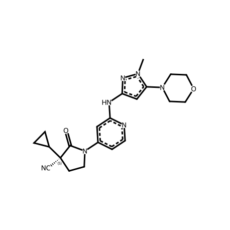 Cn1nc(Nc2cc(N3CC[C@@](C#N)(C4CC4)C3=O)ccn2)cc1N1CCOCC1